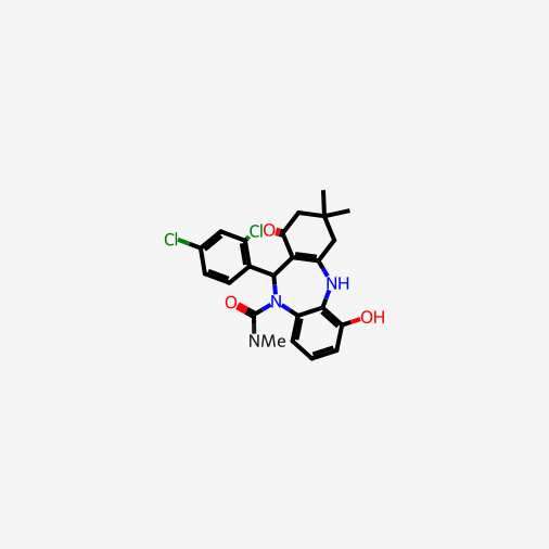 CNC(=O)N1c2cccc(O)c2NC2=C(C(=O)CC(C)(C)C2)C1c1ccc(Cl)cc1Cl